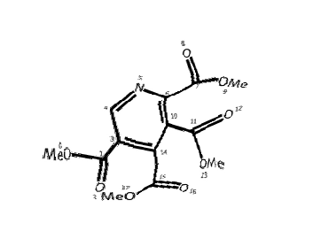 COC(=O)c1cnc(C(=O)OC)c(C(=O)OC)c1C(=O)OC